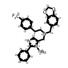 CCCCn1c(CN(CCc2ccc(C(F)(F)F)cc2)Cc2ccc3c(c2)OCO3)cnc1-c1ccccc1